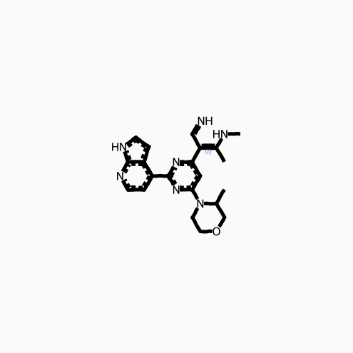 CN/C(C)=C(\C=N)c1cc(N2CCOCC2C)nc(-c2ccnc3[nH]ccc23)n1